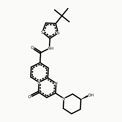 CC(C)(C)c1csc(NC(=O)c2ccn3c(=O)cc(N4CCC[C@H](O)C4)nc3c2)n1